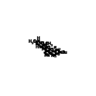 Cc1cc(Nc2cc(-c3ccnc(-n4ncc5cc(C(C)(C)C)cc(F)c5c4=O)c3CO)cn(C)c2=O)n[nH]1